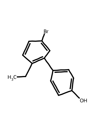 CCc1ccc(Br)cc1-c1ccc(O)cc1